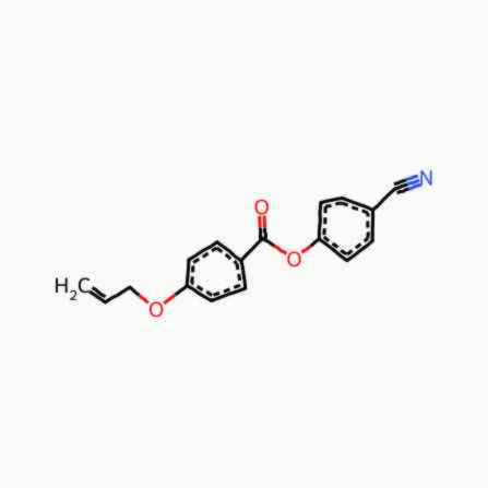 C=CCOc1ccc(C(=O)Oc2ccc(C#N)cc2)cc1